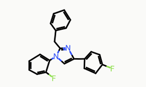 Fc1ccc(-c2cn(-c3ccccc3F)c(Cc3ccccc3)n2)cc1